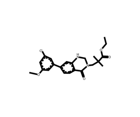 CCOC(=O)C(C)(C)CN1CNc2cc(-c3cc(Cl)cc(OC)c3)ccc2C1=O